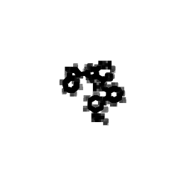 Nc1sc(-c2cnc3ccccn23)nc1C(=O)Nc1cnccc1N1CCC[C@H](N)C1